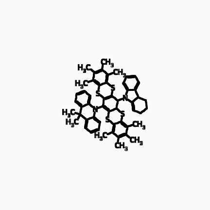 Cc1c(C)c(C)c2c(c1C)SC1=C(S2)C(N2C3=CCCCC3c3ccccc32)C2Sc3c(C)c(C)c(C)c(C)c3SC2=C1N1c2ccccc2C(C)(C)c2ccccc21